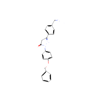 NCc1ccc(C2=NN(c3ccc(OCc4ccccc4)cc3)C(=O)C2)cc1